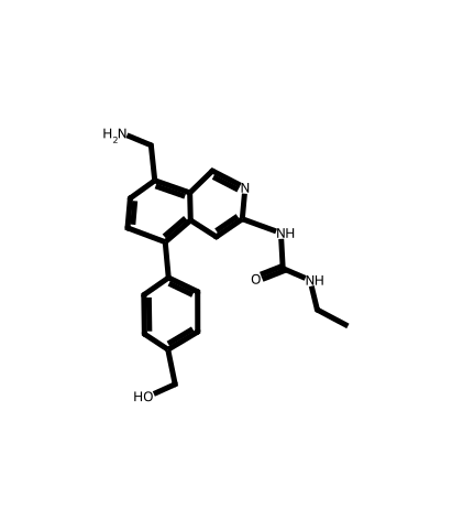 CCNC(=O)Nc1cc2c(-c3ccc(CO)cc3)ccc(CN)c2cn1